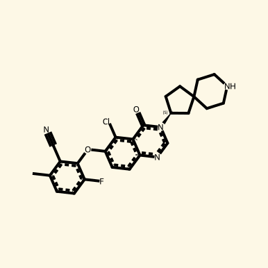 Cc1ccc(F)c(Oc2ccc3ncn([C@H]4CCC5(CCNCC5)C4)c(=O)c3c2Cl)c1C#N